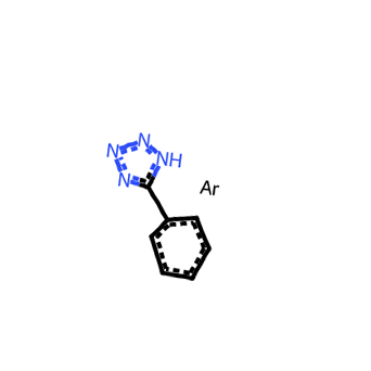 [Ar].c1ccc(-c2nnn[nH]2)cc1